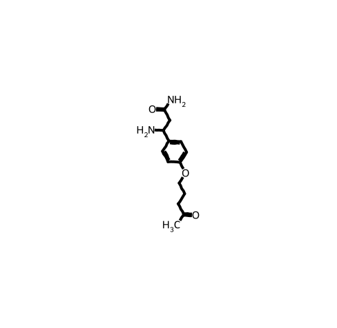 CC(=O)CCCOc1ccc(C(N)CC(N)=O)cc1